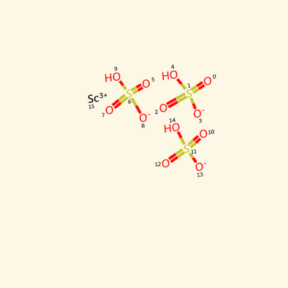 O=S(=O)([O-])O.O=S(=O)([O-])O.O=S(=O)([O-])O.[Sc+3]